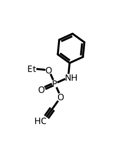 C#COP(=O)(Nc1ccccc1)OCC